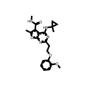 CNC(=O)c1c(C)oc2nc(CCOc3ccccc3OC)nc(NC3(C)CC3)c12